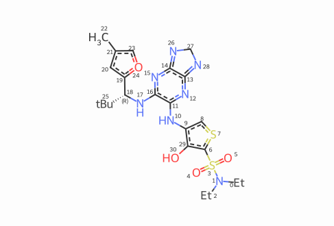 CCN(CC)S(=O)(=O)c1scc(Nc2nc3c(nc2N[C@@H](c2cc(C)co2)C(C)(C)C)=NCN=3)c1O